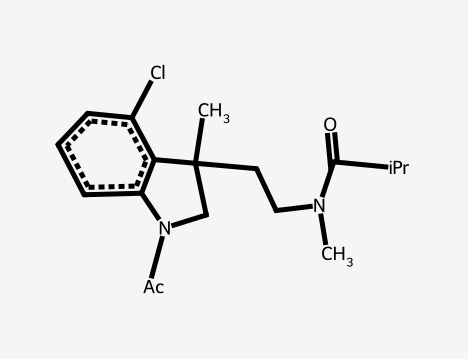 CC(=O)N1CC(C)(CCN(C)C(=O)C(C)C)c2c(Cl)cccc21